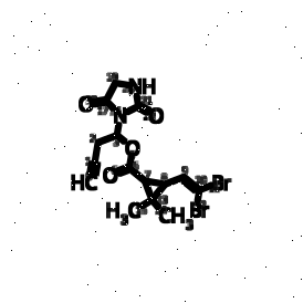 C#CCC(OC(=O)C1C(C=C(Br)Br)C1(C)C)N1C(=O)CNC1=O